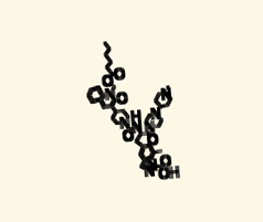 CCCCCC(=O)OCn1c(=O)c(C2CCN(C(=O)NC(Cc3cc(C)c4c(cnn4C(=O)O)c3)C(=O)N3CCN(C4CCN(C)CC4)CC3)CC2)cc2ccccc21